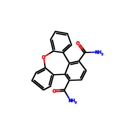 NC(=O)c1ccc(C(N)=O)c2c1-c1ccccc1Oc1ccccc1-2